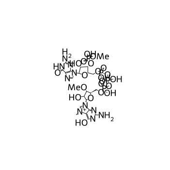 COC1C(O)[C@H](n2c[n+](C)c3c(O)nc(N)nc32)O[C@@H]1COP(=O)(O)OP(=O)(O)OP(=O)(O)OCC1OC(n2cnc3c(=O)[nH]c(N)nc32)C(O)C1OP(=O)(O)OC